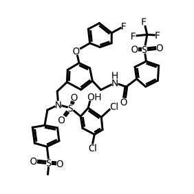 CS(=O)(=O)c1ccc(CN(Cc2cc(CNC(=O)c3cccc(S(=O)(=O)C(F)(F)F)c3)cc(Oc3ccc(F)cc3)c2)S(=O)(=O)c2cc(Cl)cc(Cl)c2O)cc1